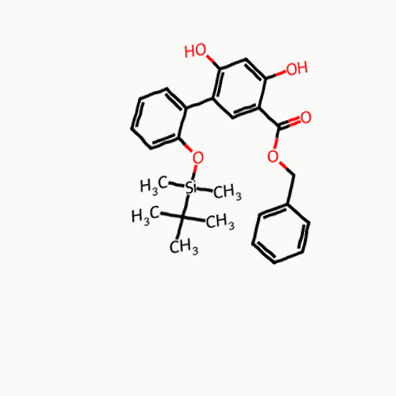 CC(C)(C)[Si](C)(C)Oc1ccccc1-c1cc(C(=O)OCc2ccccc2)c(O)cc1O